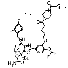 CC(C)(C)C(C)(OC(N)=O)c1oc(-c2ccc(OC(F)F)c(OCCCCC(=O)N3CCN(C(=O)C4CC4)CC3)c2)nc1C(=O)NCc1ccc(F)cc1F